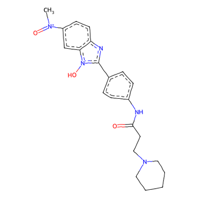 C[N+](=O)c1ccc2nc(-c3ccc(NC(=O)CCN4CCCCC4)cc3)n(O)c2c1